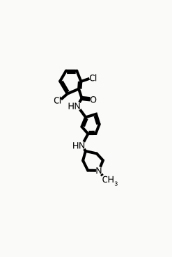 CN1CCC(Nc2cccc(NC(=O)c3c(Cl)cccc3Cl)c2)CC1